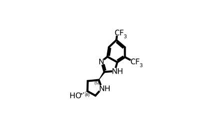 O[C@H]1CN[C@H](c2nc3cc(C(F)(F)F)cc(C(F)(F)F)c3[nH]2)C1